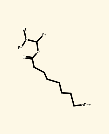 CCCCCCCCCCCCCCCCCC(=O)OC(CC)N(CC)CC